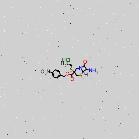 C=CSC1(C(=O)OCc2ccc([N+](=O)[O-])cc2)CS[C@@H]2C(N)C(=O)N2C1.Cl